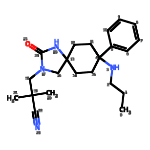 CCCNC1(c2ccccc2)CCC2(CC1)CN(CC(C)(C)C#N)C(=O)N2